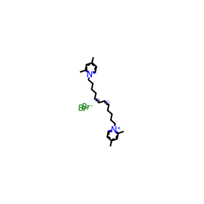 Cc1cc[n+](CCCC/C=C\C=C/CCCC[n+]2ccc(C)cc2C)c(C)c1.[Br-].[Br-]